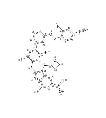 N#Cc1ccc(COc2cccc(-c3cc(F)c(Cc4nc5c(F)cc(C(=O)O)cc5n4C[C@@H]4CCO4)cc3F)n2)c(F)c1